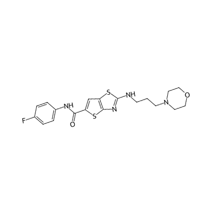 O=C(Nc1ccc(F)cc1)c1cc2sc(NCCCN3CCOCC3)nc2s1